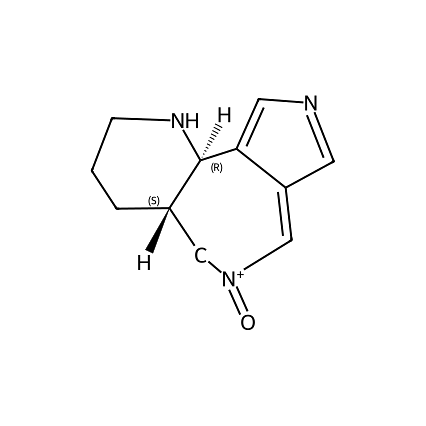 O=[N+]1C=C2C=NC=C2[C@@H]2NCCC[C@H]2C1